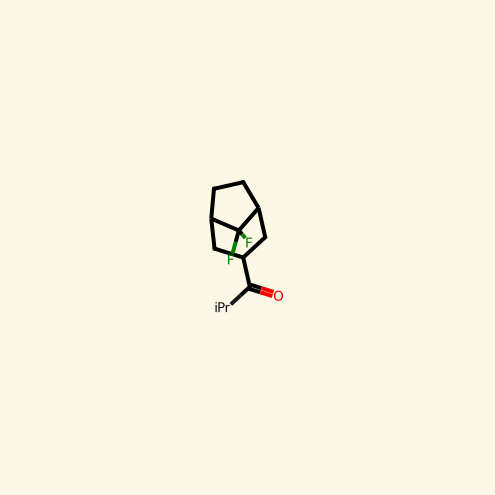 CC(C)C(=O)C1CC2CCC(C1)C2(F)F